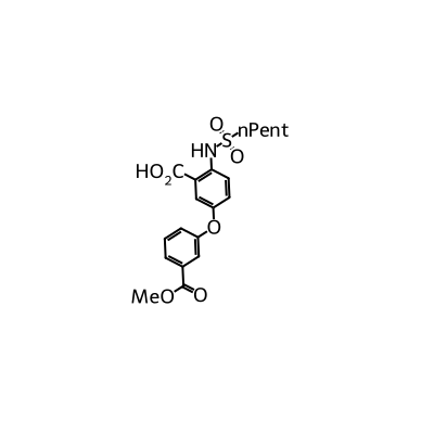 CCCCCS(=O)(=O)Nc1ccc(Oc2cccc(C(=O)OC)c2)cc1C(=O)O